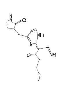 CCCCC(=O)/C(C=N)=C1\N=C(CC2CCNC2=O)C=CN1